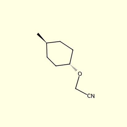 C[C@H]1CC[C@H](OCC#N)CC1